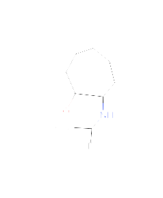 CCC(NC1CCCCCC1O)C(=O)O